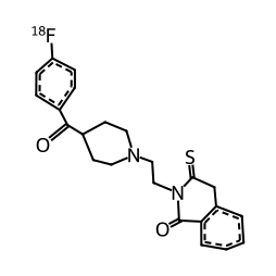 O=C(c1ccc([18F])cc1)C1CCN(CCN2C(=O)c3ccccc3CC2=S)CC1